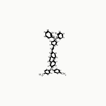 Cc1ccc(N(c2ccc(C)cc2)c2ccc3c(ccc4cc(/C=C/c5ccc(N(c6ccccc6)c6ccccc6)cc5)ccc43)c2)cc1